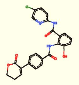 O=C1OCCC=C1c1ccc(C(=O)Nc2c(O)cccc2C(=O)Nc2ccc(Cl)cn2)cc1